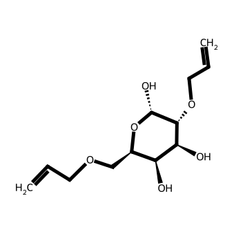 C=CCOC[C@H]1O[C@H](O)[C@H](OCC=C)[C@@H](O)[C@H]1O